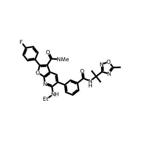 CCNc1nc2oc(-c3ccc(F)cc3)c(C(=O)NC)c2cc1-c1cccc(C(=O)NC(C)(C)c2noc(C)n2)c1